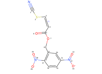 N#CS/C=C\C(=O)OCc1cc([N+](=O)[O-])ccc1[N+](=O)[O-]